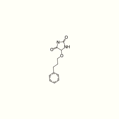 O=C1[N]C(=O)C(OCCCc2ccccc2)N1